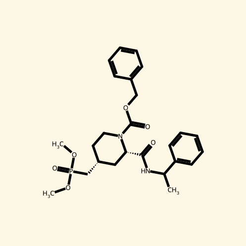 COP(=O)(C[C@@H]1CCN(C(=O)OCc2ccccc2)[C@H](C(=O)NC(C)c2ccccc2)C1)OC